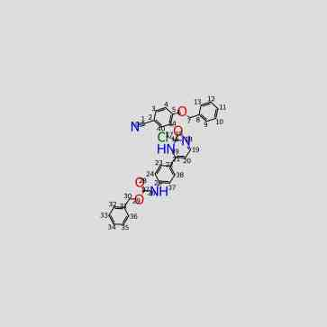 N#Cc1ccc(OCc2ccccc2)c(OC2(Cl)N=CC=C(c3ccc(NC(=O)OCc4ccccc4)cc3)N2)c1